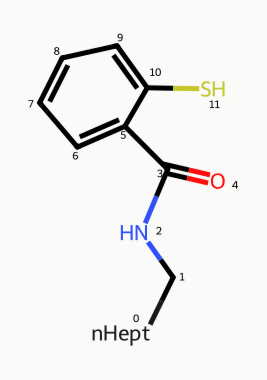 CCCCCCCCNC(=O)c1ccccc1S